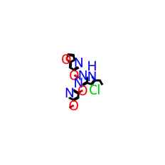 CCc1[nH]c2nc(Oc3cnc4ccoc4c3)nc(Oc3cncc(OC)c3)c2c1Cl